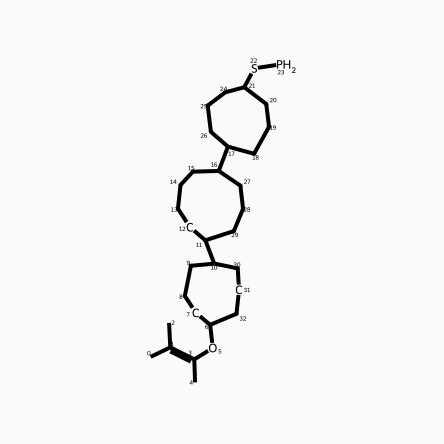 CC(C)=C(C)OC1CCCC(C2CCCCC(C3CCCC(SP)CCC3)CCC2)CCC1